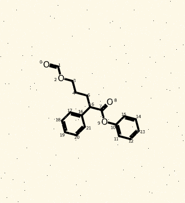 O=COCCCC(C(=O)Oc1ccccc1)c1ccccc1